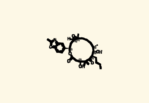 CCCC[C@H]1C(=O)C(C)(C)[C@@H](O)CC(=O)O[C@H](c2ccc3oc(C)nc3c2)C[C@@H]2O[C@]2(C)CCC[C@H](C)[C@@H]1O